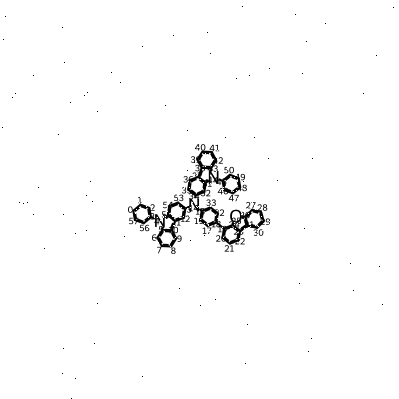 c1ccc(-n2c3ccccc3c3cc(N(c4ccc(-c5cccc6c5oc5ccccc56)cc4)c4ccc5c6ccccc6n(-c6ccccc6)c5c4)ccc32)cc1